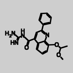 COC(C)Oc1cccc2c(C(=O)NC(=N)N)cc(-c3ccccc3)nc12